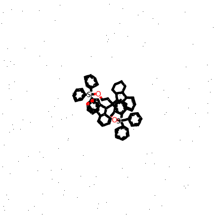 C1=CC2C(C=C1)C(C(CCO[Si](c1ccccc1)(c1ccccc1)c1ccccc1)(CCO[Si](c1ccccc1)(c1ccccc1)c1ccccc1)C1C3C=CC=CC3C3CCCCC31)C1CCCCC21